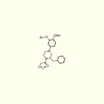 COc1ccc(N2CCN(C(=O)CC(=O)O)C(Cc3ccccc3)C2)cc1OC(C)C